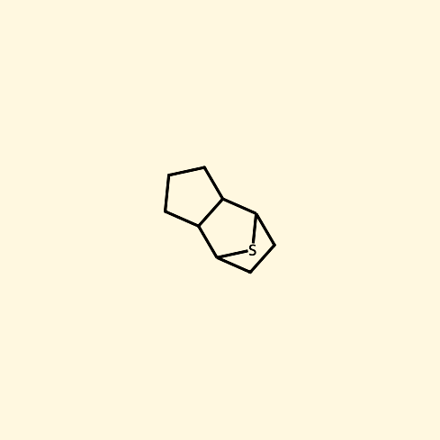 C1CC2C3CCC(S3)C2C1